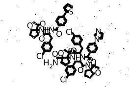 NC(=O)C12C=CCC1(NC(=O)C(Cc1ccc(Cl)cc1)N(C(=O)c1ccc(-n3ccnc3)cc1)C(Cc1ccc(Cl)cc1)C(=O)NC13CCCC1OCC3=O)C(=O)CO2.O=C(NC(Cc1ccc(Cl)cc1)C(=O)NC12CCCC1OCC2=O)c1ccc(-c2cccs2)cc1